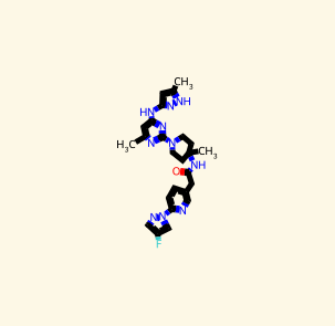 Cc1cc(Nc2cc(C)[nH]n2)nc(N2CCC(C)(NC(=O)Cc3ccc(-n4cc(F)cn4)nc3)CC2)n1